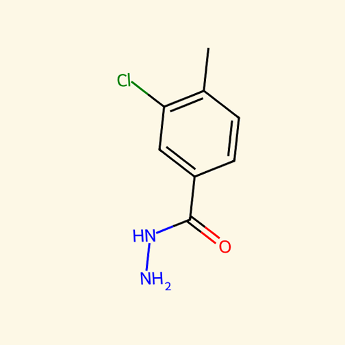 Cc1ccc(C(=O)NN)cc1Cl